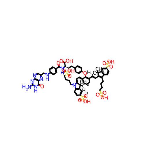 CC1(C)C(/C=C/C2=C(Oc3ccc(CC[C@@H](NC(=O)c4ccc(NCc5cnc6nc(N)[nH]c(=O)c6n5)cc4)C(=O)O)cc3)C(=C/C=C3/N(CCCCS(=O)(=O)O)c4ccc(S(=O)(=O)O)cc4C3(C)C)/CCC2)=C(CCCCS(=O)(=O)O)c2ccc(S(=O)(=O)O)cc21